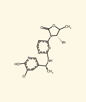 CC(C)[C@H]1C(C)OC(=O)N1c1ccnc(N[C@@H](C)c2cnc(O)c(Cl)c2)n1